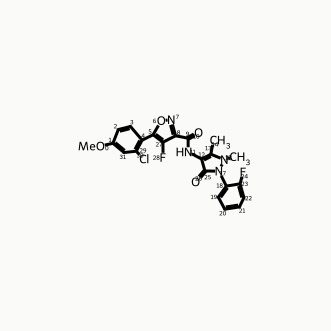 COc1ccc(-c2onc(C(=O)Nc3c(C)n(C)n(-c4ccccc4F)c3=O)c2F)c(Cl)c1